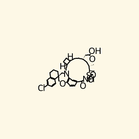 C[C@@H]1[C@@H](C)C[C@@H](CC(=O)O)CC[C@@H]2CC[C@H]2CN2C[C@@]3(CCCc4cc(Cl)ccc43)COc3ccc(cc32)C(=O)NS1(=O)=O